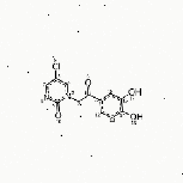 O=C(Cn1cc(Cl)cnc1=O)c1ccc(O)c(O)c1